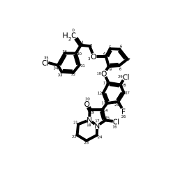 C=C(COc1ccccc1Oc1cc(-c2c(Cl)n3n(c2=O)CCCC3)c(F)cc1Cl)c1cccc(Cl)c1